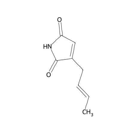 CC=CCC1=CC(=O)NC1=O